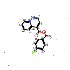 CC(OC(=O)c1ccnc2ccccc12)c1ccc(F)cc1